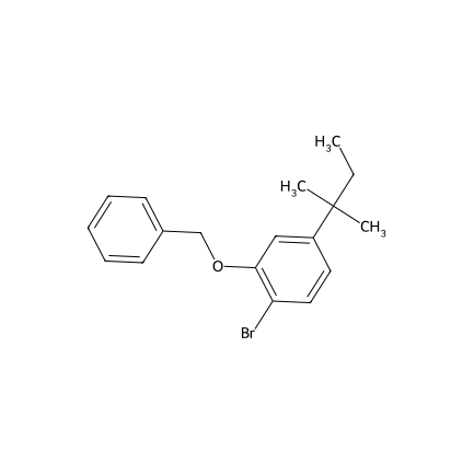 CCC(C)(C)c1ccc(Br)c(OCc2ccccc2)c1